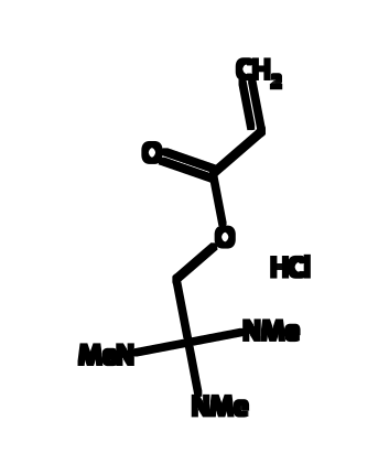 C=CC(=O)OCC(NC)(NC)NC.Cl